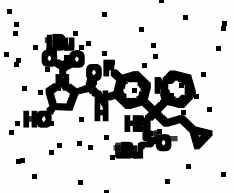 CC(C)(C)OC(=O)N1C[C@H](O)C[C@@H]1C(=O)Nc1cc(C(CCC2CC2)(N[S@@+]([O-])C(C)(C)C)c2ccccn2)ccc1F